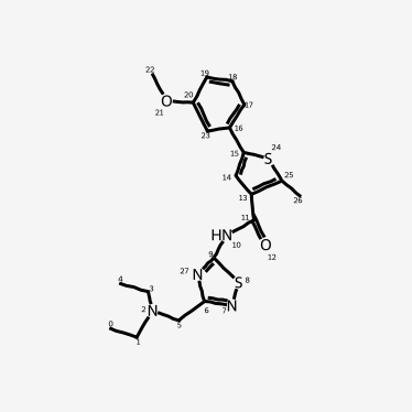 CCN(CC)Cc1nsc(NC(=O)c2cc(-c3cccc(OC)c3)sc2C)n1